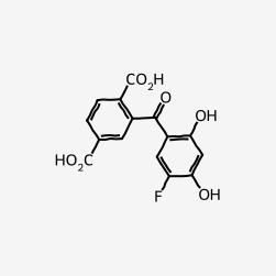 O=C(O)c1ccc(C(=O)O)c(C(=O)c2cc(F)c(O)cc2O)c1